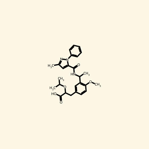 COc1ccc(CC(OC(C)C)C(=O)O)cc1C(C)NC(=O)c1cc(C)nn1-c1ccccc1